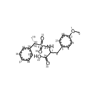 COc1ccc(CC(NS(=O)(=O)[C@@H](C)c2ccccc2)C(=O)O)cc1